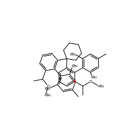 CCCCOC(C)c1cc[c]c(C2(c3[c]ccc(C(C)OCCCC)c3-c3c(C(C)(C)C)cc(C)cc3C(C)(C)C)CCCCC2)c1-c1c(C(C)(C)C)cc(C)cc1C(C)(C)C